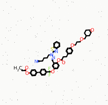 C=CC(=O)Oc1ccc(-c2ccc(C(F)(F)Oc3ccc(OC(=O)CCc4ccc(OCCCOCC5CCC6OC6C5)cc4)c(/C=N/N(CCCCC#N)c4nc5ccccc5s4)c3)cc2)cc1